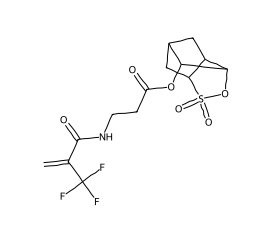 C=C(C(=O)NCCC(=O)OC1C2CC3C1OS(=O)(=O)C3C2)C(F)(F)F